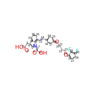 O=C(O)Cc1cn(CC(=O)O)c2c(/C=C/c3ccc(OCCCCOc4cccc(F)c4F)cc3)cccc12